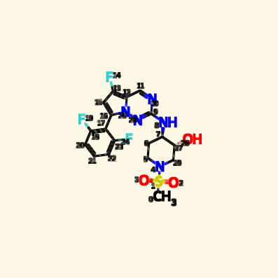 CS(=O)(=O)N1CC[C@@H](Nc2ncc3c(F)cc(-c4c(F)cccc4F)n3n2)[C@H](O)C1